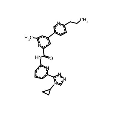 CCCc1ccc(-c2cc(C)nc(C(=O)Nc3cccc(-c4nncn4C4CC4)n3)c2)cn1